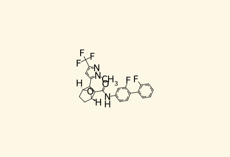 Cn1nc(C(F)(F)F)cc1C1=C(C(=O)Nc2ccc(-c3ccccc3F)c(F)c2)[C@@H]2CC[C@@H]1O2